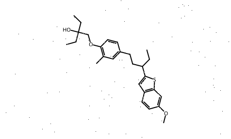 CCC(CCc1ccc(OCC(O)(CC)CC)c(C)c1)c1cc2ccc(OC)cc2s1